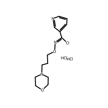 Cl.Cl.ClC(=NOCCCN1CCOCC1)c1cccnc1